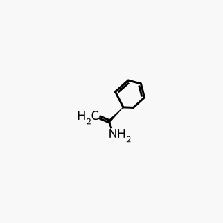 C=C(N)[C@H]1C=CC=CC1